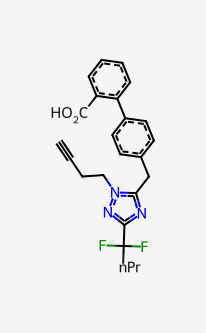 C#CCCn1nc(C(F)(F)CCC)nc1Cc1ccc(-c2ccccc2C(=O)O)cc1